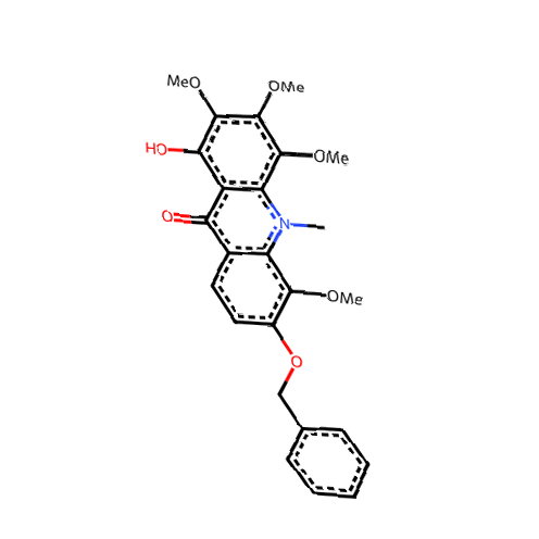 COc1c(OC)c(OC)c2c(c1O)c(=O)c1ccc(OCc3ccccc3)c(OC)c1n2C